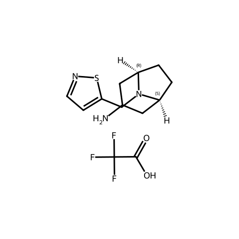 NC1C[C@H]2CC[C@@H](C1)N2Cc1ccns1.O=C(O)C(F)(F)F